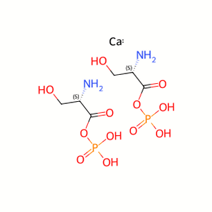 N[C@@H](CO)C(=O)OP(=O)(O)O.N[C@@H](CO)C(=O)OP(=O)(O)O.[Ca]